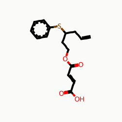 C=CCC(CCOC(=O)C=CC(=O)O)Sc1ccccc1